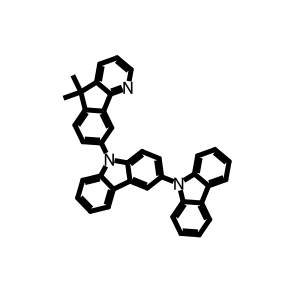 CC1(C)c2ccc(-n3c4ccccc4c4cc(-n5c6ccccc6c6ccccc65)ccc43)cc2-c2ncccc21